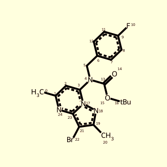 Cc1cc(N(Cc2ccc(F)cc2)C(=O)OC(C)(C)C)n2nc(C)c(Br)c2n1